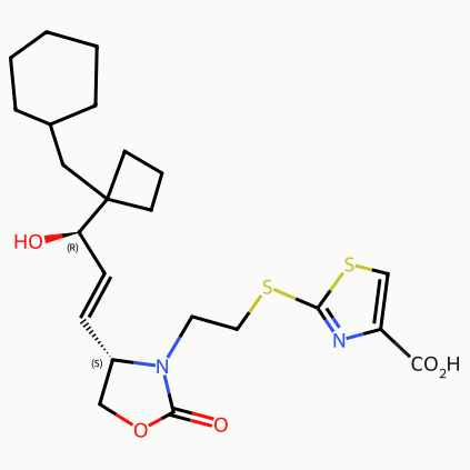 O=C(O)c1csc(SCCN2C(=O)OC[C@@H]2C=C[C@@H](O)C2(CC3CCCCC3)CCC2)n1